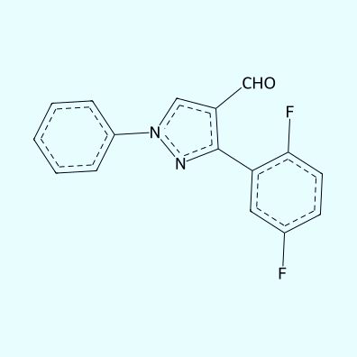 O=Cc1cn(-c2ccccc2)nc1-c1cc(F)ccc1F